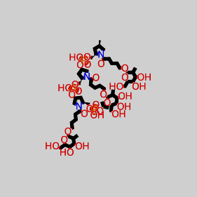 CC(C)OP(=O)(O)OC[C@@H]1C[C@@H](OP(=O)(O)OC[C@@H]2C[C@@H](OP(=O)(O)OC[C@@H]3C[C@@H](C)CN3C(=O)CCCCOC3OC(CO)C(O)C(O)C3C)CN2C(=O)CCCCOC2OC(CO)C(O)C(O)C2C)CN1C(=O)CCCCOC1OC(CO)C(O)C(O)C1C